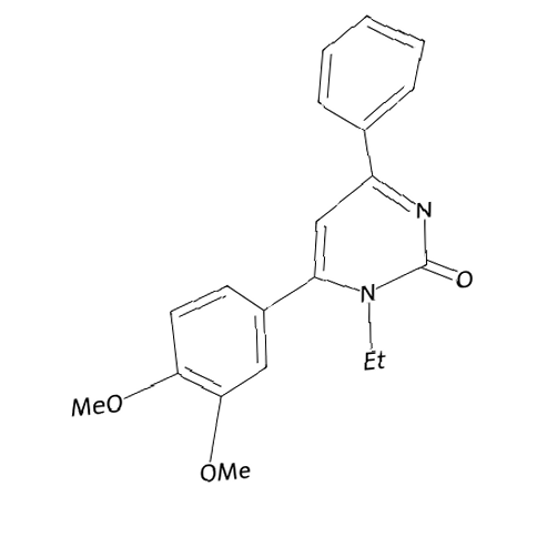 CCn1c(-c2ccc(OC)c(OC)c2)cc(-c2ccccc2)nc1=O